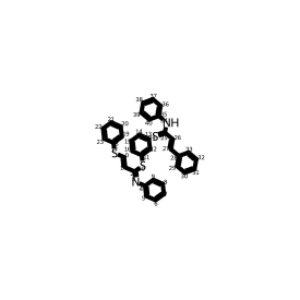 C(=CC(=Nc1ccccc1)Sc1ccccc1)Sc1ccccc1.S=C(C=Cc1ccccc1)Nc1ccccc1